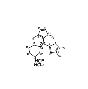 CC1=C(C)C[C]([Zr]([C]2=C(C)C=CC2C)=[C]2CCCCC2)=C1.Cl.Cl